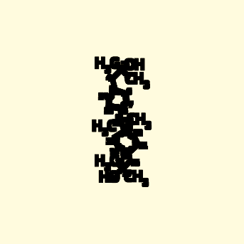 CC(C)(O)Cc1ccc(C(C)(C)c2ccc(CC(C)(C)O)cc2)cc1